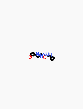 COc1cccc(-c2ccc3nc(NC(=O)NCCc4ccccc4)cn3n2)c1